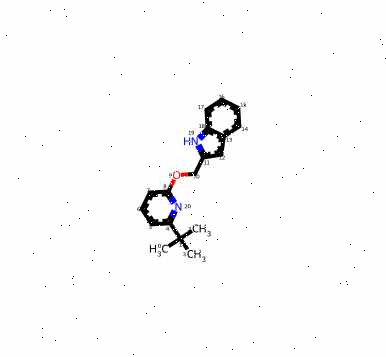 CC(C)(C)c1cccc(OCc2cc3ccccc3[nH]2)n1